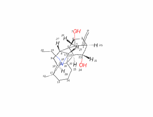 C=C1[C@H]2CC[C@]3([C@@H]1O)[C@H]1C[C@@H]4C5(C)CCCC4([C@@H]1N(CC)C5)[C@@H]3[C@H]2O